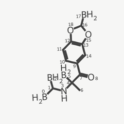 BC(B)NC(B)(C)C(=O)c1ccc2c(c1)OC(B)O2